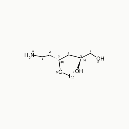 NCC[C@H](C[C@H](O)CO)OI